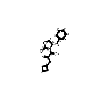 C=C(CC1CCC1)C(=O)N1C(=O)OC[C@@H]1Cc1ccccc1